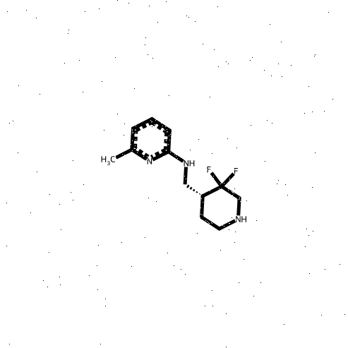 Cc1cccc(NC[C@H]2CCNCC2(F)F)n1